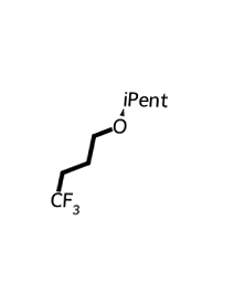 CCC[C@@H](C)OCCCC(F)(F)F